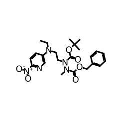 CCN(CCN(C(=O)OC(C)(C)C)N(C)C(=O)OCc1ccccc1)c1ccc([N+](=O)[O-])nc1